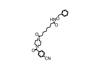 N#Cc1ccc(C(=O)N2CCN(C(=O)CCCCCCC(=O)NOCc3ccccc3)CC2)cc1